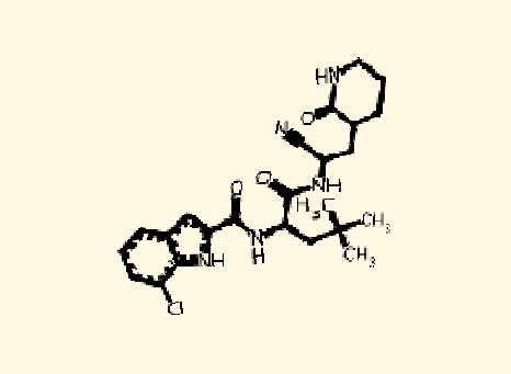 CC(C)(C)CC(NC(=O)c1cc2cccc(Cl)c2[nH]1)C(=O)NC(C#N)CC1CCCNC1=O